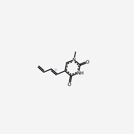 C=C/C=C/c1cn(C)c(=O)[nH]c1=O